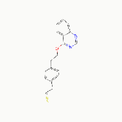 S=CCc1ccc(CCOc2ncnc3ccccc23)cc1